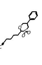 C#CCCCCC1OCC(c2ccccc2)CS1(=O)=O